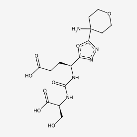 NC1(c2nnc([C@H](CCC(=O)O)NC(=O)N[C@@H](CO)C(=O)O)o2)CCOCC1